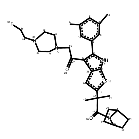 Cc1cc(C)cc(-c2[nH]c3sc(C(C)(C)C(=O)N4C5CCC4CC5)cc3c2C(=O)CN2CCN(CCF)CC2)c1